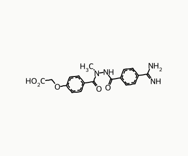 CN(NC(=O)c1ccc(C(=N)N)cc1)C(=O)c1ccc(OCC(=O)O)cc1